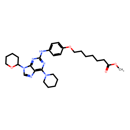 COC(=O)CCCCCCOc1ccc(Nc2nc(N3CCCCC3)c3ncn(C4CCCCO4)c3n2)cc1